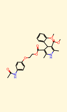 COC(=O)C1=C(C)NC(C)=C(C(=O)OCCOc2ccc(NC(C)=O)cc2)C1c1ccccc1OC